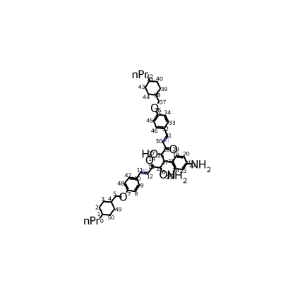 CCCC1CCC(COc2ccc(/C=C/C(=O)C(O)C(c3ccc(N)cc3N)C(O)C(=O)/C=C/c3ccc(OCC4CCC(CCC)CC4)cc3)cc2)CC1